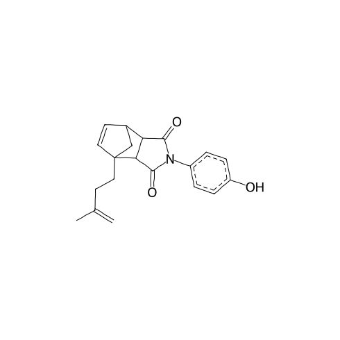 C=C(C)CCC12C=CC(C1)C1C(=O)N(c3ccc(O)cc3)C(=O)C12